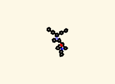 c1ccc(-c2ccc(-c3cc(-c4ccc(-c5ccccc5)cc4)cc(-n4c5ccccc5c5cc(-c6ccc(-c7ccccc7N(c7ccc8ccccc8c7)c7cccc8ccccc78)cc6)ccc54)c3)cc2)cc1